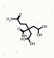 NC(=O)CCC(CC(O)O)(CC(O)O)C(N)=O